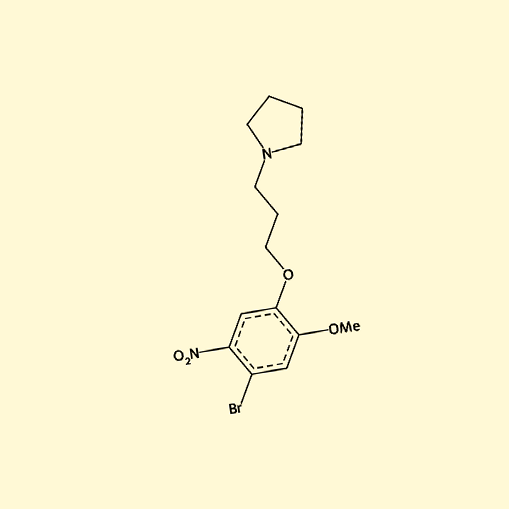 COc1cc(Br)c([N+](=O)[O-])cc1OCCCN1CCCC1